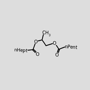 CCCCCCCC(=O)OC(C)COC(=O)CCCCC